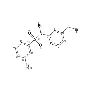 CCN(c1cccc(CBr)c1)S(=O)(=O)c1cccc(C(F)(F)F)c1